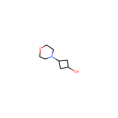 OC1CC(N2CCOCC2)C1